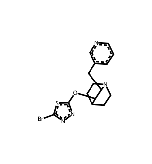 Brc1nnc(OC2C3CCN(CC3)C2Cc2cccnc2)s1